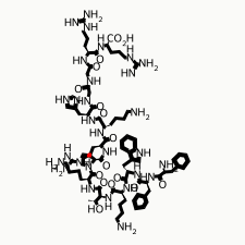 C[C@@H](O)[C@H](NC(=O)[C@H](CCCCN)NC(=O)[C@H](Cc1c[nH]c2ccccc12)NC(=O)[C@H](Cc1ccccc1)NC(=O)[C@@H](N)Cc1ccccc1)C(=O)N[C@@H](CCCCN)C(=O)N1CCC[C@H]1C(=O)N[C@@H](CCCNC(=N)N)C(=O)N[C@@H](CCCCN)C(=O)N[C@@H](Cc1c[nH]cn1)C(=O)NCC(=O)NCC(=O)N[C@@H](CCCNC(=N)N)C(=O)N[C@@H](CCCNC(=N)N)C(=O)O